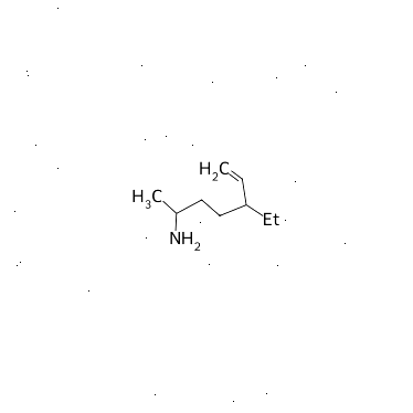 C=CC(CC)CCC(C)N